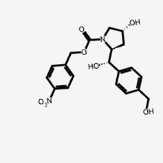 O=C(OCc1ccc([N+](=O)[O-])cc1)N1C[C@H](O)C[C@H]1[C@@H](O)c1ccc(CO)cc1